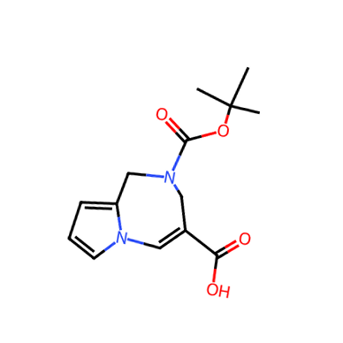 CC(C)(C)OC(=O)N1CC(C(=O)O)=Cn2cccc2C1